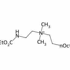 CCCCCCCCCC[N+](C)(C)CCNC(=O)OCC